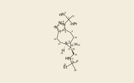 CCCC(C)(CCC)n1nnc2c1CC[C@@H]1[C@H](CC2)[C@@H]1CNC(C)(C)CC